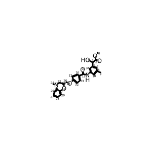 COC(=O)C(O)c1cc(C)cc(NC(=O)c2ccc(OC[C@@H]3CN(C)c4ccccc4O3)cc2)c1